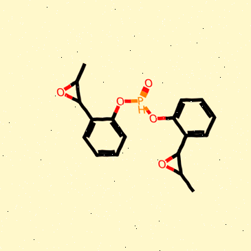 CC1OC1c1ccccc1O[PH](=O)Oc1ccccc1C1OC1C